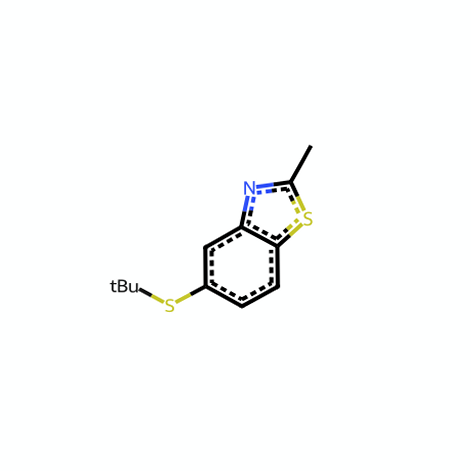 Cc1nc2cc(SC(C)(C)C)ccc2s1